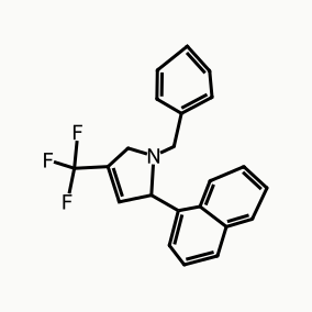 FC(F)(F)C1=CC(c2cccc3ccccc23)N(Cc2ccccc2)C1